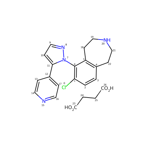 Clc1ccc2c(c1-n1nccc1-c1ccncc1)CCNCC2.O=C(O)CCC(=O)O